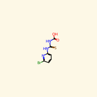 O=C(O)NC(=S)Nc1cccc(Br)n1